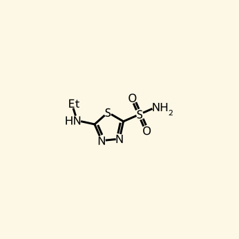 CCNc1nnc(S(N)(=O)=O)s1